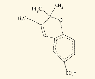 CC1=Cc2cc(C(=O)O)ccc2OC1(C)C